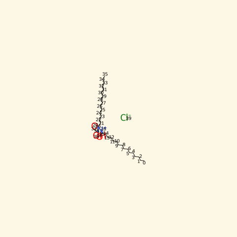 CCCCCCCCCCCCCCCC(=O)[N+](C)(C(=O)CCCCCCCCCCCCCCC)C(C)O.[Cl-]